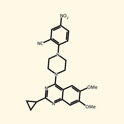 COc1cc2nc(C3CC3)nc(N3CCN(c4ccc([N+](=O)[O-])cc4C#N)CC3)c2cc1OC